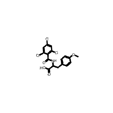 COc1ccc(CC(NC(=O)c2c(Cl)cc(Cl)cc2Cl)C(=O)O)cc1